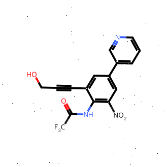 O=C(Nc1c(C#CCO)cc(-c2cccnc2)cc1[N+](=O)[O-])C(F)(F)F